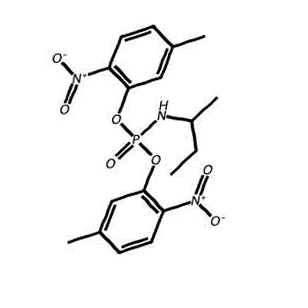 CCC(C)NP(=O)(Oc1cc(C)ccc1[N+](=O)[O-])Oc1cc(C)ccc1[N+](=O)[O-]